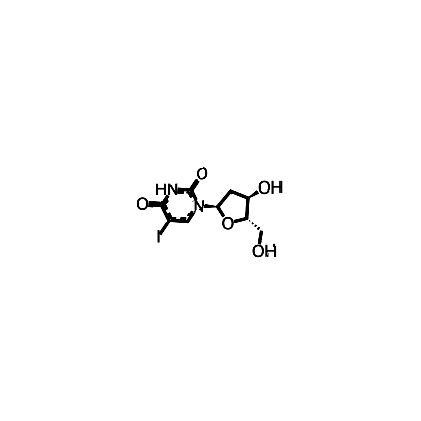 O=c1[nH]c(=O)n([C@H]2C[C@@H](O)[C@H](CO)O2)cc1I